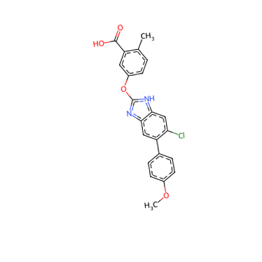 COc1ccc(-c2cc3nc(Oc4ccc(C)c(C(=O)O)c4)[nH]c3cc2Cl)cc1